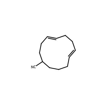 N#CC1CC/C=C/CC/C=C/CCC1